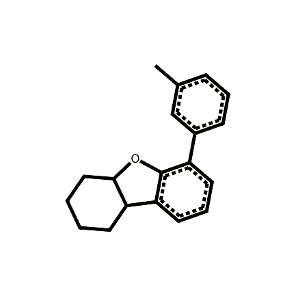 Cc1cccc(-c2cccc3c2OC2CCCCC32)c1